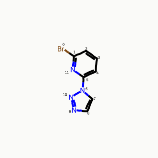 Brc1cccc(-n2ccnn2)n1